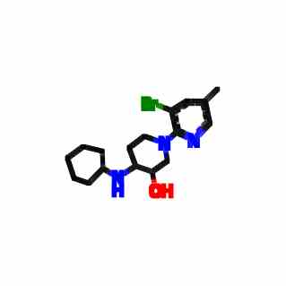 Cc1cnc(N2CCC(NC3CCCCC3)C(O)C2)c(Br)c1